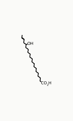 CC=CCC(O)CCCCCCCCCCCCCCCC(=O)O